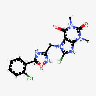 Cn1c(=O)c2c(nc(Cl)n2Cc2noc(-c3ccccc3Cl)n2)n(C)c1=O